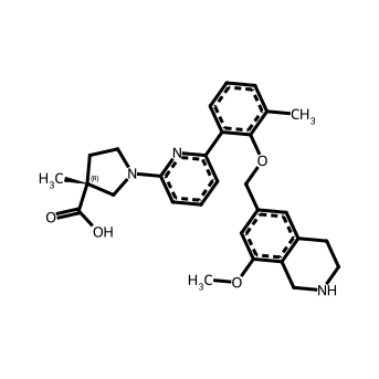 COc1cc(COc2c(C)cccc2-c2cccc(N3CC[C@@](C)(C(=O)O)C3)n2)cc2c1CNCC2